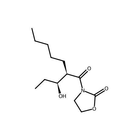 CCCCC[C@@H](C(=O)N1CCOC1=O)[C@@H](O)CC